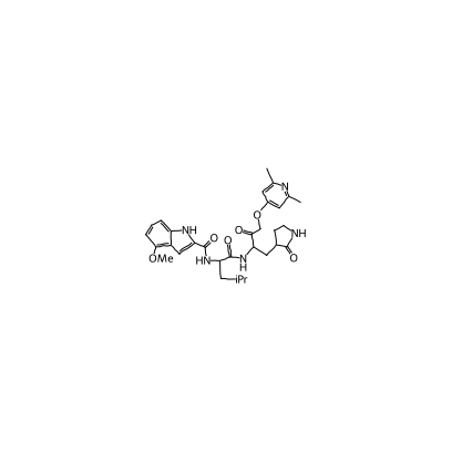 COc1cccc2[nH]c(C(=O)NC(CC(C)C)C(=O)NC(CC3CCNC3=O)C(=O)COc3cc(C)nc(C)c3)cc12